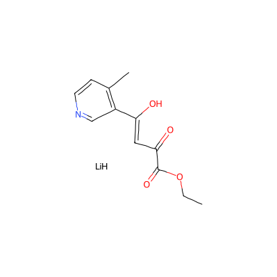 CCOC(=O)C(=O)C=C(O)c1cnccc1C.[LiH]